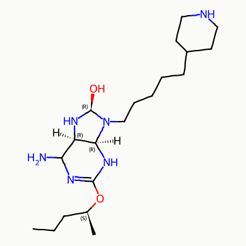 CCC[C@H](C)OC1=NC(N)[C@H]2N[C@@H](O)N(CCCCCC3CCNCC3)[C@H]2N1